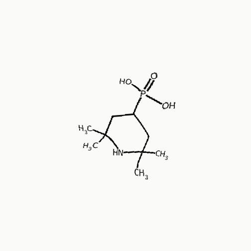 CC1(C)CC(P(=O)(O)O)CC(C)(C)N1